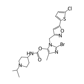 Cc1nc(Br)n(Cc2cc(-c3ccc(Cl)s3)on2)c1OC(=O)NC1CCN(C(C)C)CC1